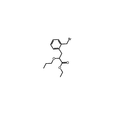 CCCOC(Cc1ccccc1CBr)C(=O)OCC